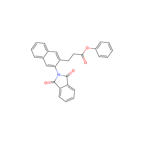 O=C(CCc1cc2ccccc2cc1N1C(=O)c2ccccc2C1=O)Oc1ccccc1